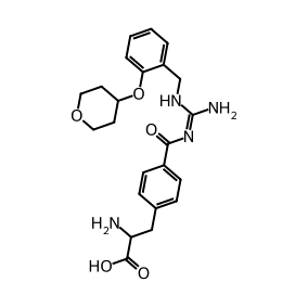 NC(=NC(=O)c1ccc(CC(N)C(=O)O)cc1)NCc1ccccc1OC1CCOCC1